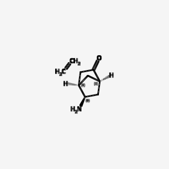 C=C.N[C@@H]1C[C@H]2C[C@@H]1CC2=O